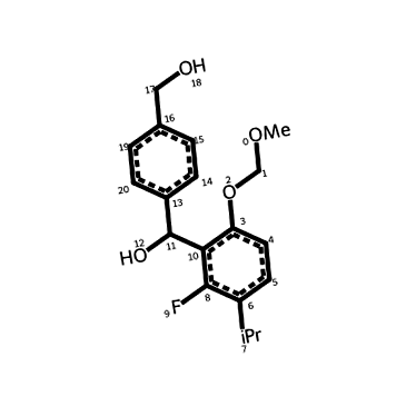 COCOc1ccc(C(C)C)c(F)c1C(O)c1ccc(CO)cc1